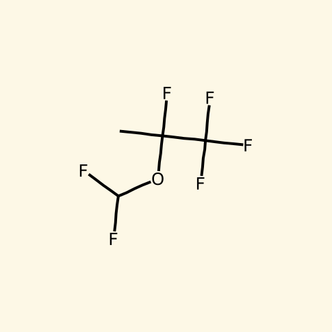 CC(F)(OC(F)F)C(F)(F)F